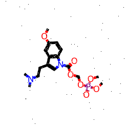 COc1ccc2c(c1)c(CCN(C)C)cn2C(=O)OCOP(=O)(OC)OC